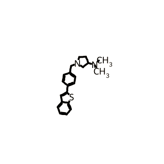 CN(C)C1CCN(Cc2ccc(-c3cc4ccccc4s3)cc2)C1